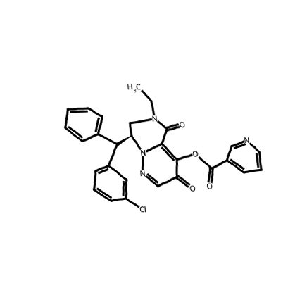 CCN1C[C@H](C(c2ccccc2)c2cccc(Cl)c2)n2ncc(=O)c(OC(=O)c3cccnc3)c2C1=O